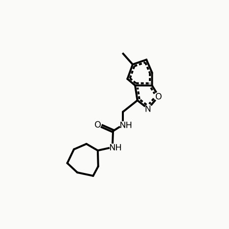 Cc1ccc2onc(CNC(=O)NC3CCCCCC3)c2c1